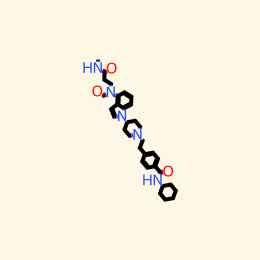 CNC(=O)CCN(C=O)c1cccc2c1ccn2C1CCN(CCc2ccc(C(=O)NC3CCCCC3)cc2)CC1